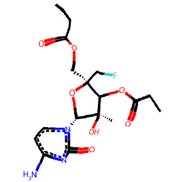 CCC(=O)OC[C@@]1(CF)O[C@@H](n2ccc(N)nc2=O)[C@](C)(O)C1OC(=O)CC